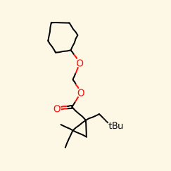 CC(C)(C)CC1(C(=O)OCOC2CCCCC2)CC1(C)C